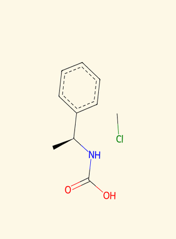 CCl.C[C@H](NC(=O)O)c1ccccc1